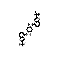 FC(F)(F)c1cn2c(N[C@H]3CC[C@@H](Nc4cccc5nc(C(F)(F)F)cn45)CC3)cccc2n1